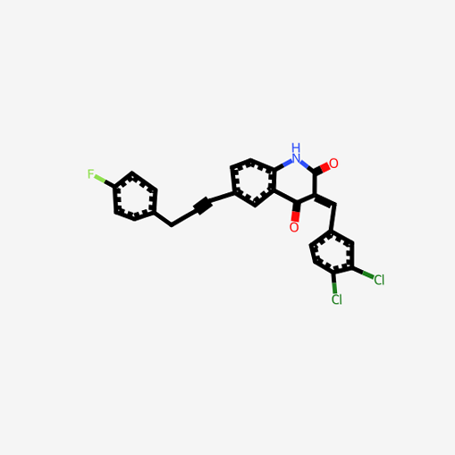 O=C1Nc2ccc(C#CCc3ccc(F)cc3)cc2C(=O)/C1=C\c1ccc(Cl)c(Cl)c1